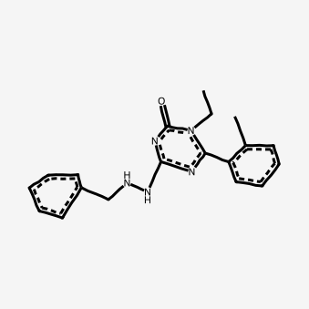 CCn1c(-c2ccccc2C)nc(NNCc2ccccc2)nc1=O